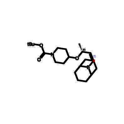 C[C@H](/C=C\B1C2CCCC1CCC2)OC1CCN(C(=O)OC(C)(C)C)CC1